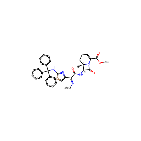 CON=C(C(=O)N[C@@H]1C(=O)N2C(C(=O)OC(C)(C)C)=CCC[C@@H]12)c1csc(NC(c2ccccc2)(c2ccccc2)c2ccccc2)n1